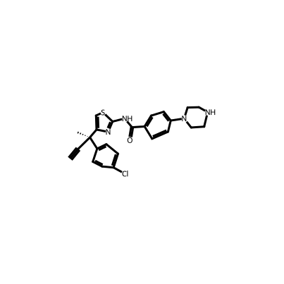 C#C[C@](C)(c1ccc(Cl)cc1)c1csc(NC(=O)c2ccc(N3CCNCC3)cc2)n1